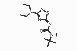 CCN(CC)c1nc(=NC(=O)NC(C)(C)C)ss1